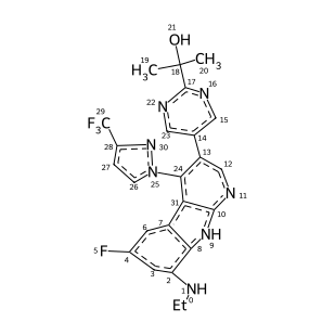 CCNc1cc(F)cc2c1[nH]c1ncc(-c3cnc(C(C)(C)O)nc3)c(-n3ccc(C(F)(F)F)n3)c12